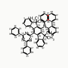 CC1(C)c2ccccc2-c2c(-c3nc(-c4ccccc4)nc(-c4ccccc4)n3)c3c(c(N(c4ccccc4)c4ccccc4-c4ccccc4)c21)C(C)(C)c1ccccc1-3